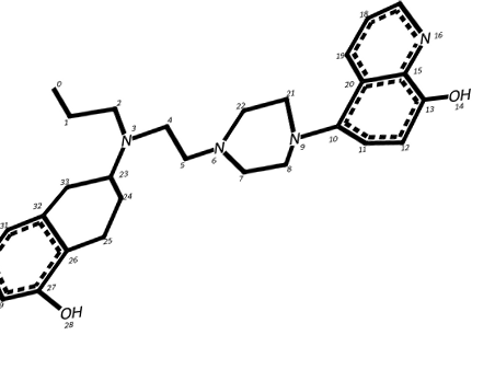 CCCN(CCN1CCN(c2ccc(O)c3ncccc23)CC1)C1CCc2c(O)cccc2C1